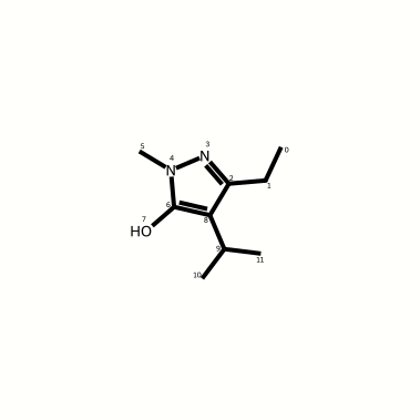 CCc1nn(C)c(O)c1C(C)C